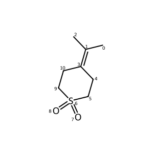 CC(C)=C1CCS(=O)(=O)CC1